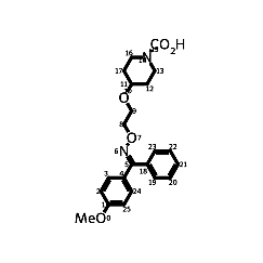 COc1ccc(C(=NOCCOC2CCN(C(=O)O)CC2)c2ccccc2)cc1